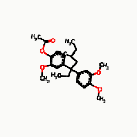 CCC(C)CC(CC)(c1ccc(OC)c(OC)c1)c1ccc(OC(C)=O)c(OC)c1